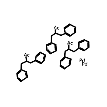 CC(=O)C(Cc1ccccc1)Cc1ccccc1.CC(=O)C(Cc1ccccc1)Cc1ccccc1.CC(=O)C(Cc1ccccc1)Cc1ccccc1.[Pd].[Pd]